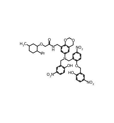 CC1CCC(C(C)C)C(OCC(=O)NCc2cc(N(Cc3cc([N+](=O)[O-])ccc3O)Cc3cc([N+](=O)[O-])ccc3OCc3cc([N+](=O)[O-])ccc3O)cc3c2OCOC3)C1